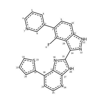 Fc1c(-c2cccnc2)ccc2[nH]nc(-c3nc4c(-c5cccs5)ccnc4[nH]3)c12